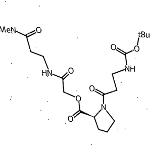 CNC(=O)CCNC(=O)COC(=O)[C@@H]1CCCN1C(=O)CCNC(=O)OC(C)(C)C